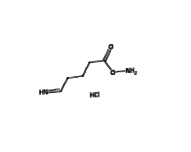 Cl.N=CCCCC(=O)ON